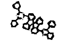 c1ccc(-c2nc(-c3ccccc3)nc(-c3cccc4c3-c3ccccc3C43c4ccccc4-c4c(-c5nc(-c6ccccc6)c6ccccc6n5)cccc43)n2)cc1